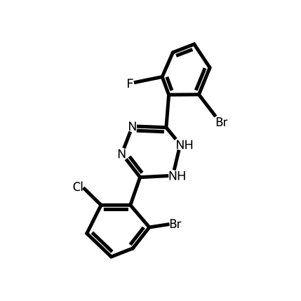 Fc1cccc(Br)c1C1=NN=C(c2c(Cl)cccc2Br)NN1